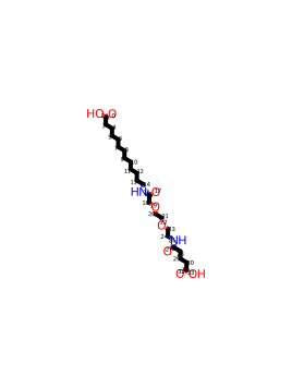 O=C(O)CCCCCCCCCCCCNC(=O)COCCOCCNC(=O)CCCC(=O)O